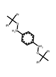 CC(C)C(C)(O[SiH2]c1ccc([SiH2]OC(C)(C(C)C)C(C)C)cc1)C(C)C